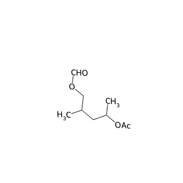 CC(=O)OC(C)CC(C)COC=O